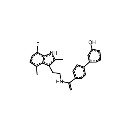 C=C(NCCc1c(C)[nH]c2c(F)ccc(C)c12)c1ccc(-c2cccc(O)c2)cc1